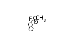 COC(=O)C(F)C1C=CC2=CCCCC2=C1